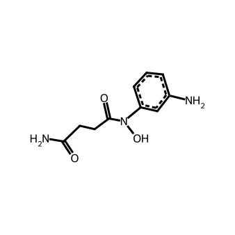 NC(=O)CCC(=O)N(O)c1cccc(N)c1